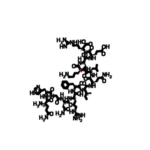 CC[C@H](C)[C@H](NC(=O)[C@H](Cc1ccccc1)NC(=O)[C@H](CCCNC(=N)N)NC(=O)[C@H](CC(N)=O)NC(=O)CNC(=O)[C@H](Cc1c[nH]cn1)NC(=O)[C@@H](N)CCC(N)=O)C(=O)N[C@@H](CCC(N)=O)C(=O)N[C@@H](CC(C)C)C(=O)N[C@@H](CCCCN)C(=O)N[C@@H](CC(C)C)C(=O)N[C@@H](CCC(=O)O)C(=O)N[C@@H](CCCNC(=N)N)C(=O)O